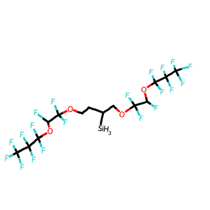 FC(OC(F)(F)C(F)(F)C(F)(F)F)C(F)(F)OCCC([SiH3])COC(F)(F)C(F)OC(F)(F)C(F)(F)C(F)(F)F